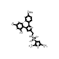 COc1ccc(-c2sc(CNS(=O)(=O)c3cc(C)oc3C(F)(F)F)cc2-c2ccc(Cl)cc2Cl)cc1